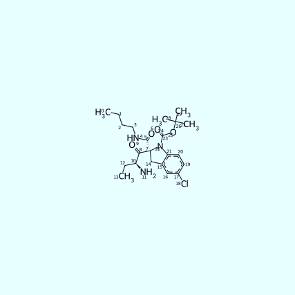 CCCCNC(=O)[C@@]1(C(=O)[C@@H](N)CC)Cc2cc(Cl)ccc2N1C(=O)OC(C)(C)C